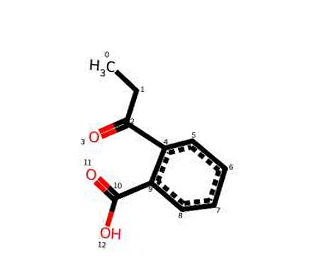 CCC(=O)c1ccccc1C(=O)O